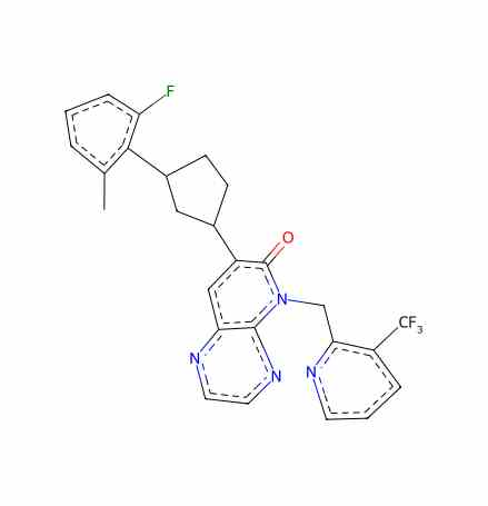 Cc1cccc(F)c1C1CCC(c2cc3nccnc3n(Cc3ncccc3C(F)(F)F)c2=O)C1